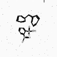 O=[N+]([O-])c1ccccc1S(=O)(=O)O.c1ccc(Cc2ccccc2)cc1